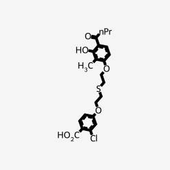 CCCC(=O)c1ccc(OCCSCCOc2ccc(C(=O)O)c(Cl)c2)c(C)c1O